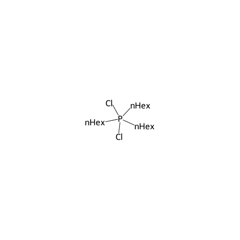 CCCCCCP(Cl)(Cl)(CCCCCC)CCCCCC